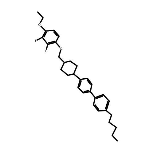 CCCCCc1ccc(-c2ccc(C3CCC(COc4ccc(OCC)c(F)c4F)CC3)cc2)cc1